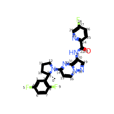 C[C@]1(c2cc(F)ccc2F)CCCN1c1ccn2ncc(NC(=O)c3ccc(F)cn3)c2n1